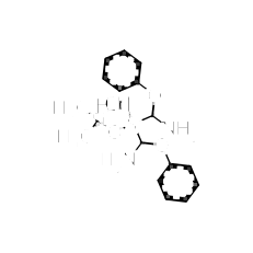 C[Si](C)(C)O[Si](C)(C(N)Oc1ccccc1)C(N)Oc1ccccc1